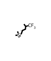 CC(C[CH]C[Si](C)(C)C)C(F)(F)F